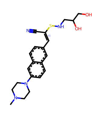 CN1CCN(c2ccc3cc(/C=C(\C#N)SNCC(O)CO)ccc3c2)CC1